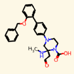 CNC1(CC=O)CN(c2ccc(-c3ccccc3OCc3ccccc3)cc2)CCN1C(=O)O